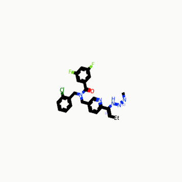 CC/C=C(\N/N=N\C)c1ccc(CN(Cc2ccccc2Cl)C(=O)c2cc(F)cc(F)c2)cn1